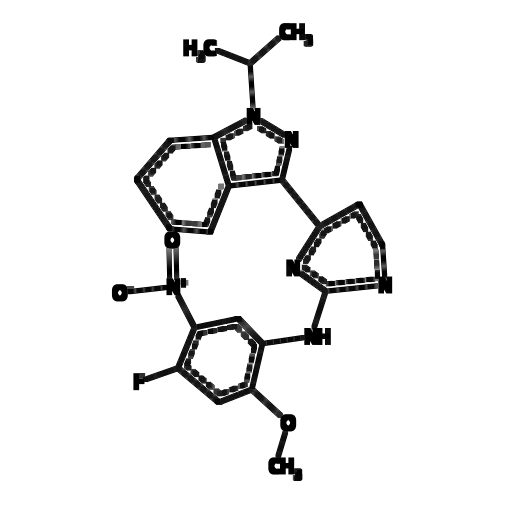 COc1cc(F)c([N+](=O)[O-])cc1Nc1nccc(-c2nn(C(C)C)c3ccccc23)n1